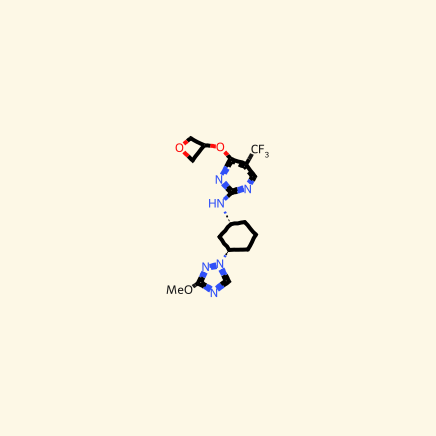 COc1ncn([C@H]2CCC[C@@H](Nc3ncc(C(F)(F)F)c(OC4COC4)n3)C2)n1